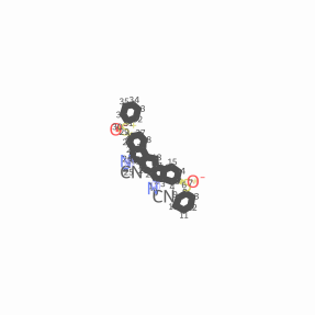 N#C/N=c1\c2cc([S+]([O-])c3ccccc3)ccc2c2cc3c(cc12)/c(=N\C#N)c1cc([S+]([O-])c2ccccc2)ccc13